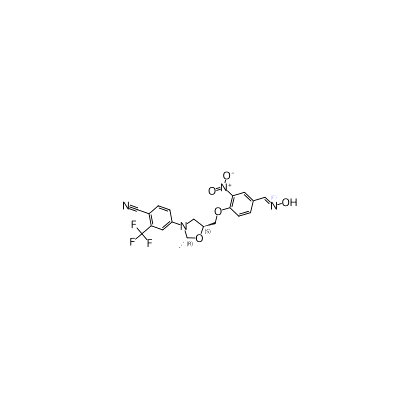 C[C@H]1O[C@H](COc2ccc(/C=N/O)cc2[N+](=O)[O-])CN1c1ccc(C#N)c(C(F)(F)F)c1